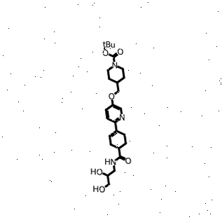 CC(C)(C)OC(=O)N1CCC(COc2ccc(C3=CCC(C(=O)NCC(O)CO)CC3)nc2)CC1